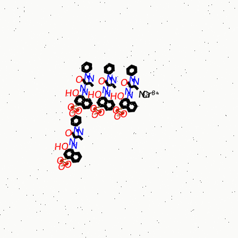 CC1=NN(c2ccccc2)C(=O)C1N=Nc1c(O)cc(S(=O)(=O)[O-])c2ccccc12.CC1=NN(c2ccccc2)C(=O)C1N=Nc1c(O)cc(S(=O)(=O)[O-])c2ccccc12.CC1=NN(c2ccccc2)C(=O)C1N=Nc1c(O)cc(S(=O)(=O)[O-])c2ccccc12.CC1=NN(c2ccccc2)C(=O)C1N=Nc1c(O)cc(S(=O)(=O)[O-])c2ccccc12.[Cr+3].[Na+]